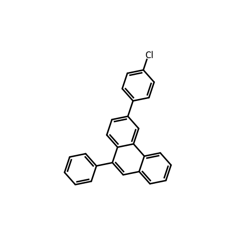 Clc1ccc(-c2ccc3c(-c4ccccc4)cc4ccccc4c3c2)cc1